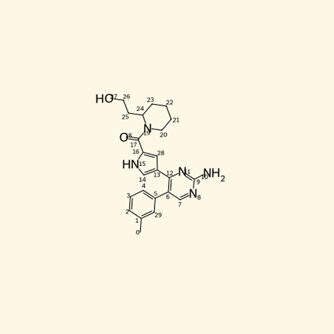 Cc1cccc(-c2cnc(N)nc2-c2c[nH]c(C(=O)N3CCCCC3CCO)c2)c1